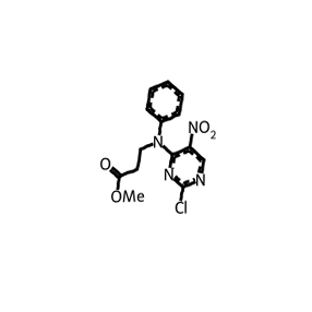 COC(=O)CCN(c1ccccc1)c1nc(Cl)ncc1[N+](=O)[O-]